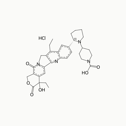 CCc1c2c(nc3ccc([C@@H]4CCCCN4C4CCN(C(=O)O)CC4)cc13)-c1cc3c(c(=O)n1C2)COC(=O)C3(O)CC.Cl